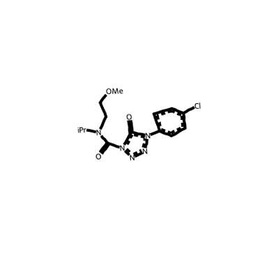 COCCN(C(=O)n1nnn(-c2ccc(Cl)cc2)c1=O)C(C)C